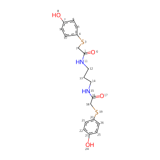 O=C(CSc1ccc(O)cc1)NCCCNC(=O)CSc1ccc(O)cc1